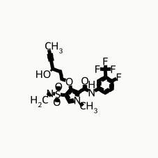 C=NS(=O)(=O)c1cn(C)c(C(=O)Nc2ccc(F)c(C(F)(F)F)c2)c1OCC[C@@H](O)C#CC